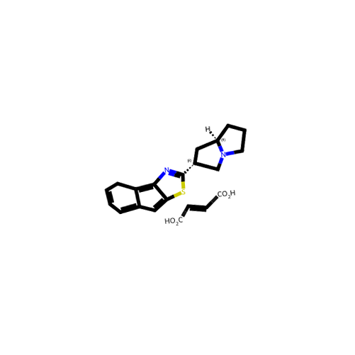 C1=CCC2=c3nc([C@@H]4C[C@H]5CCCN5C4)sc3=CC2=C1.O=C(O)C=CC(=O)O